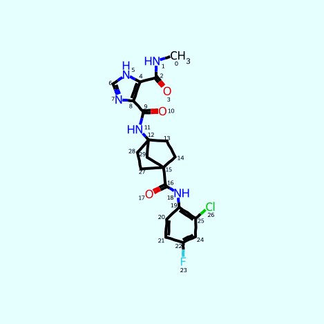 CNC(=O)c1[nH]cnc1C(=O)NC12CCC(C(=O)Nc3ccc(F)cc3Cl)(CC1)C2